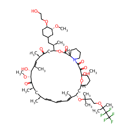 CO[C@@H]1CC(C[C@@H](C)C2CC(=O)[C@H](C)/C=C(\C)[C@@H](O)[C@@H](OC)C(=O)[C@H](C)C[C@H](C)/C=C/C=C/C=C(\C)[C@@H](OC(C)(C)CCOC(C)(C)C(F)(F)C(F)(F)F)C[C@@H]3CC[C@@H](C)[C@@](O)(O3)C(=O)C(=O)N3CCCC[C@H]3C(=O)O2)CC[C@H]1OCCO